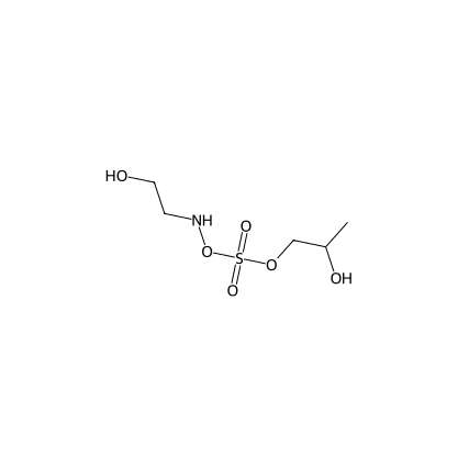 CC(O)COS(=O)(=O)ONCCO